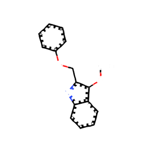 O=COc1c(COc2ccccc2)[nH]c2ccccc12